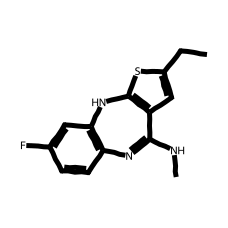 CCc1cc2c(s1)Nc1cc(F)ccc1N=C2NC